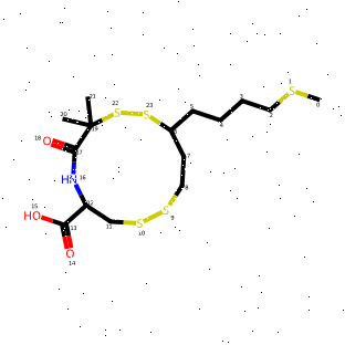 CSCCCCC1CCSSCC(C(=O)O)NC(=O)C(C)(C)SS1